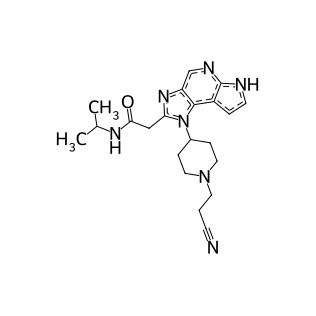 CC(C)NC(=O)Cc1nc2cnc3[nH]ccc3c2n1C1CCN(CCC#N)CC1